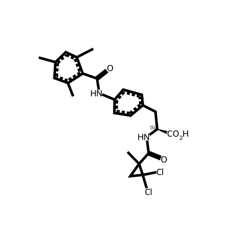 Cc1cc(C)c(C(=O)Nc2ccc(C[C@H](NC(=O)C3(C)CC3(Cl)Cl)C(=O)O)cc2)c(C)c1